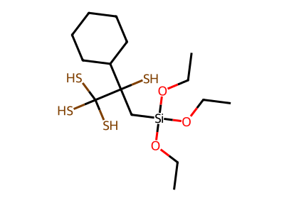 CCO[Si](CC(S)(C1CCCCC1)C(S)(S)S)(OCC)OCC